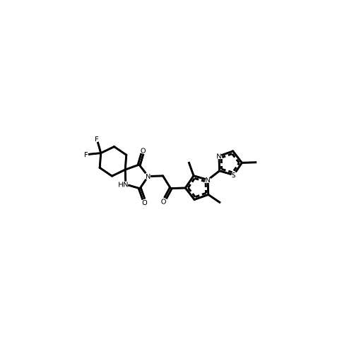 Cc1cnc(-n2c(C)cc(C(=O)CN3C(=O)NC4(CCC(F)(F)CC4)C3=O)c2C)s1